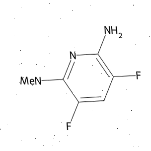 CNc1nc(N)c(F)cc1F